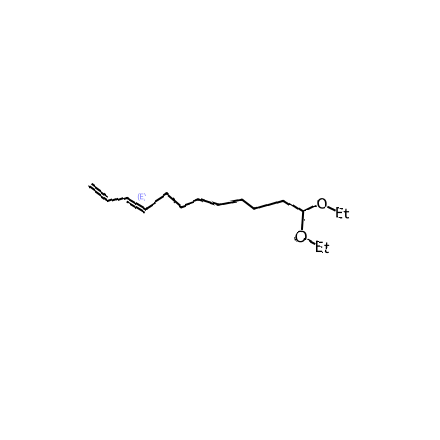 C=C/C=C/CCCCCCCC(OCC)OCC